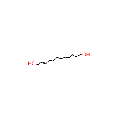 OCC=CCCCCCCCCCO